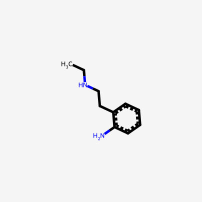 CCNCCc1ccccc1N